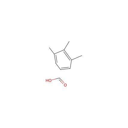 Cc1cccc(C)c1C.O=CO